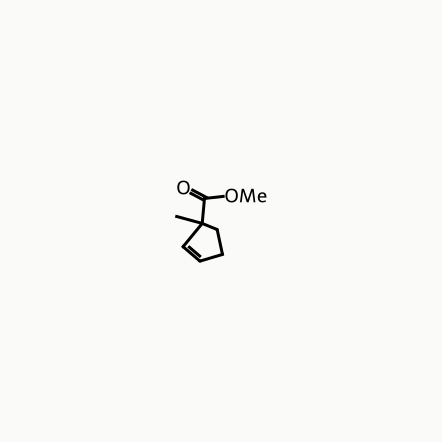 COC(=O)C1(C)C=CCC1